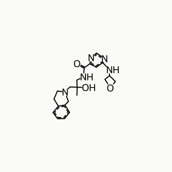 CC(O)(CNC(=O)c1cc(NC2COC2)ncn1)CN1CCc2ccccc2C1